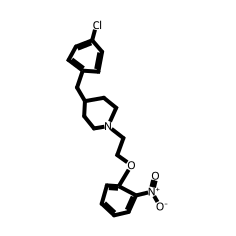 O=[N+]([O-])c1ccccc1OCCN1CCC(Cc2ccc(Cl)cc2)CC1